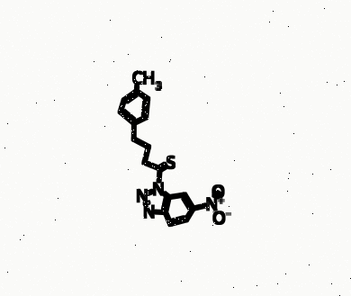 Cc1ccc(CCCC(=S)n2nnc3ccc([N+](=O)[O-])cc32)cc1